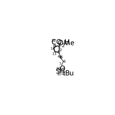 COc1cc(C#CCCO[Si](C)(C)C(C)(C)C)ccc1C(=O)O